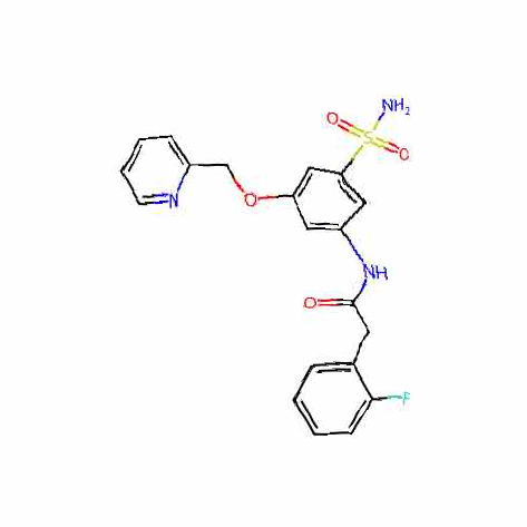 NS(=O)(=O)c1cc(NC(=O)Cc2ccccc2F)cc(OCc2ccccn2)c1